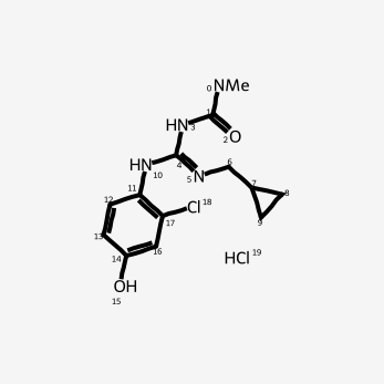 CNC(=O)NC(=NCC1CC1)Nc1ccc(O)cc1Cl.Cl